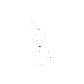 C[C@@H]1C[C@H]2[C@@H]3C[C@H](F)C4=CC(=O)CC[C@]4(C)[C@H]3CC[C@]2(C)[C@H]1[C@@H](O)C(=O)O